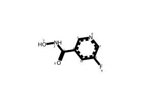 O=C(NO)c1cncc(F)c1